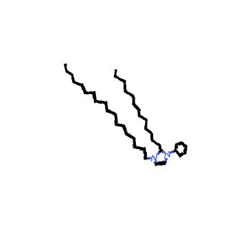 CCCCCCCCCCCCCCCCCCN1C=CN(c2ccccc2)C1CCCCCCCCCCCCC